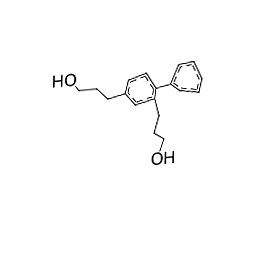 OCCCc1ccc(-c2ccccc2)c(CCCO)c1